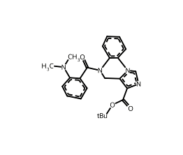 CN(C)c1ccccc1C(=O)N1Cc2c(C(=O)OC(C)(C)C)ncn2-c2ccccc21